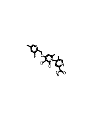 COC(=O)c1cc(-n2c(C)cc(OCc3ncc(C)cc3F)c(Cl)c2=O)c(C)cn1